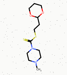 CN1CCN(C(=S)SCCC2OCCCO2)CC1